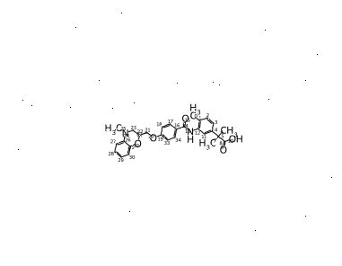 Cc1ccc(C(C)(C)C(=O)O)cc1NC(=O)c1ccc(OC[C@@H]2CN(C)c3ccccc3O2)cc1